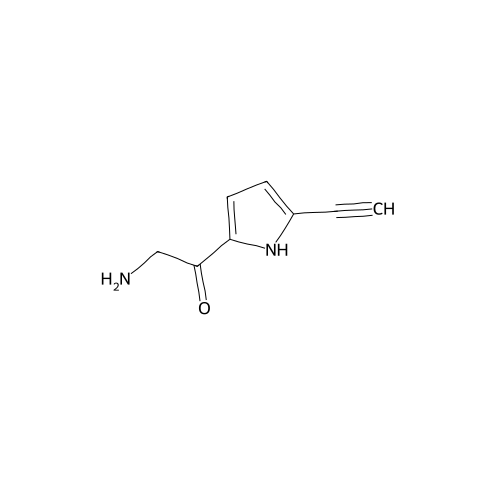 C#Cc1ccc(C(=O)CN)[nH]1